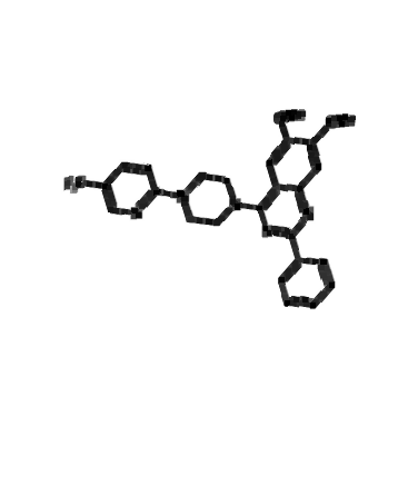 COc1cc2nc(-c3ccccc3)nc(N3CCN(c4ccc(C(F)(F)F)cn4)CC3)c2cc1OC